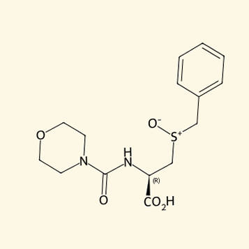 O=C(O)[C@H](C[S+]([O-])Cc1ccccc1)NC(=O)N1CCOCC1